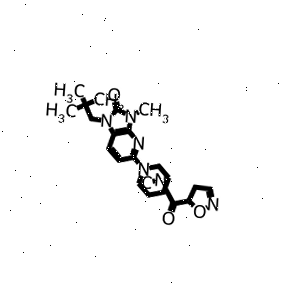 Cn1c(=O)n(CC(C)(C)C)c2ccc(N3CC4CCC3CN4C(=O)C3CC=NO3)nc21